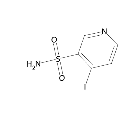 NS(=O)(=O)c1cnccc1I